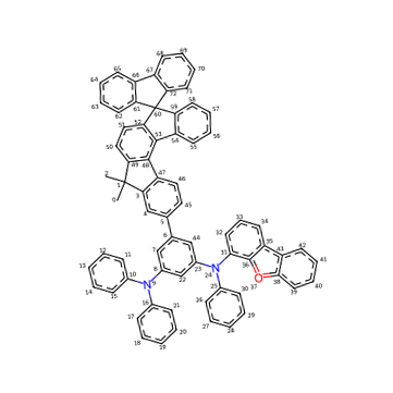 CC1(C)c2cc(-c3cc(N(c4ccccc4)c4ccccc4)cc(N(c4ccccc4)c4cccc5c4oc4ccccc45)c3)ccc2-c2c1ccc1c2-c2ccccc2C12c1ccccc1-c1ccccc12